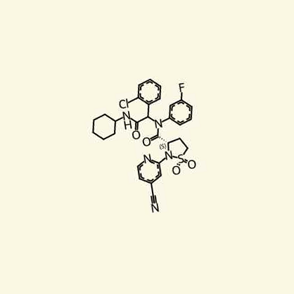 N#Cc1ccnc(N2[C@H](C(=O)N(c3cccc(F)c3)C(C(=O)NC3CCCCC3)c3ccccc3Cl)CCS2(=O)=O)c1